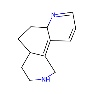 C1=CC2=C3CNCCC3CCC2N=C1